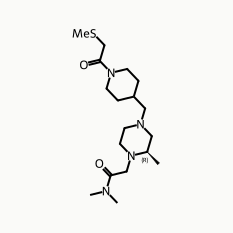 CSCC(=O)N1CCC(CN2CCN(CC(=O)N(C)C)[C@H](C)C2)CC1